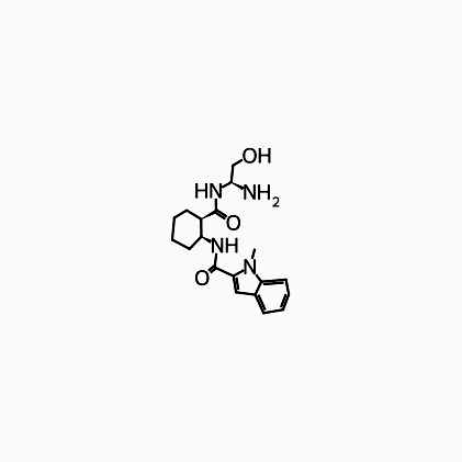 Cn1c(C(=O)N[C@H]2CCCC[C@H]2C(=O)N[C@H](N)CO)cc2ccccc21